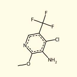 COc1ncc(C(F)(F)F)c(Cl)c1N